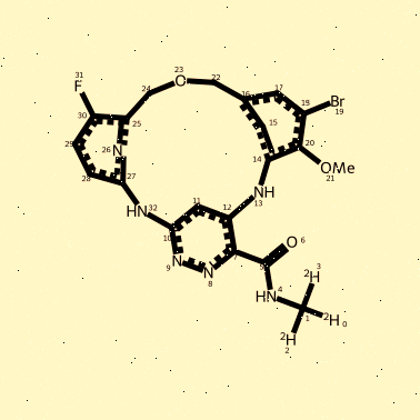 [2H]C([2H])([2H])NC(=O)c1nnc2cc1Nc1cc(cc(Br)c1OC)COCc1nc(ccc1F)N2